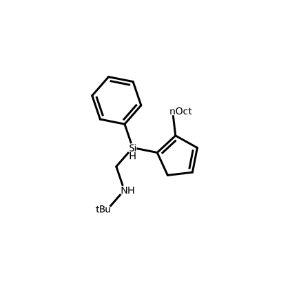 CCCCCCCCC1=C([SiH](CNC(C)(C)C)c2ccccc2)CC=C1